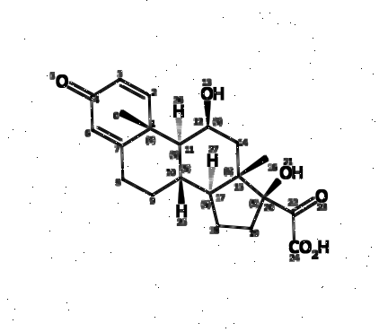 C[C@]12C=CC(=O)C=C1CC[C@@H]1[C@@H]2[C@@H](O)C[C@@]2(C)[C@H]1CC[C@@]2(O)C(=O)C(=O)O